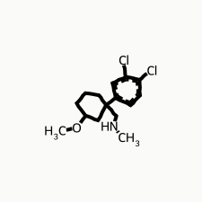 CNCC1(c2ccc(Cl)c(Cl)c2)CCCC(OC)C1